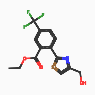 CCOC(=O)c1cc(C(F)(F)F)ccc1-c1nc(CO)cs1